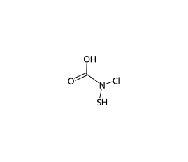 O=C(O)N(S)Cl